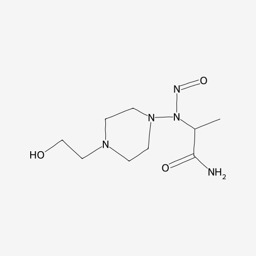 CC(C(N)=O)N(N=O)N1CCN(CCO)CC1